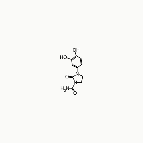 NC(=O)N1CCN(c2ccc(O)c(O)c2)C1=O